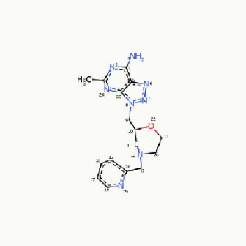 Cc1nc(N)c2nnn(CC3CN(Cc4ccccn4)CCO3)c2n1